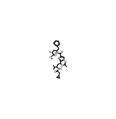 COC(=O)[C@@H](C)CC(Cc1ccccc1)NC(=O)c1csc(C(CC(NC(=O)CC2CC2)C(C)C)OC(C)=O)n1